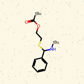 CC(C)(C)NC(SCCOC(=O)C(C)(C)C)c1ccccc1